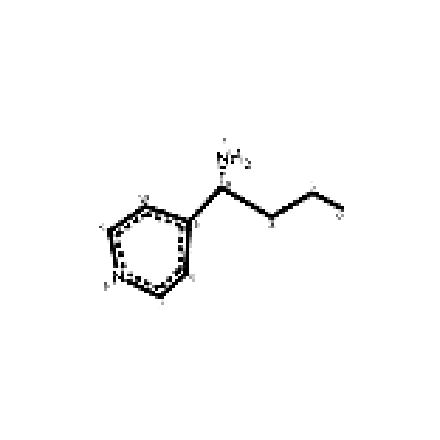 CCC[C@@H](N)c1ccncc1